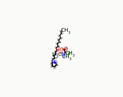 CC(C(=O)O)N(C)C.CCCCCCCCCCCCCCCC[n+]1ccccc1.[Cl-]